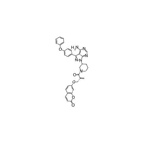 C=C(COc1ccc2ccc(=O)oc2c1)C(=O)N1CCCC(n2nc(-c3ccc(Oc4ccccc4)cc3)c3c(N)ncnc32)C1